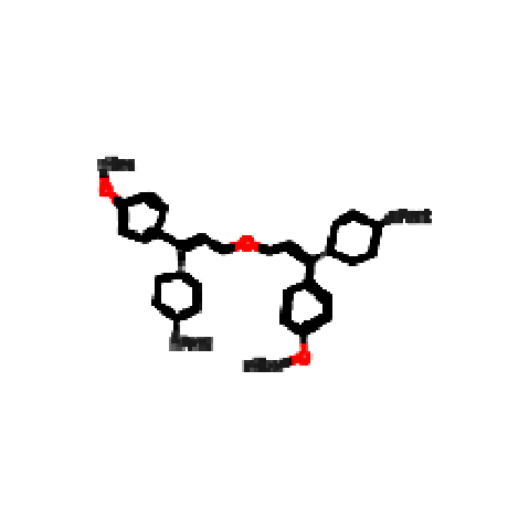 CCCCCCOc1ccc(C(=CCOCC=C(c2ccc(OCCCCCC)cc2)[C@H]2CC[C@H](CCCCC)CC2)[C@H]2CC[C@H](CCCCC)CC2)cc1